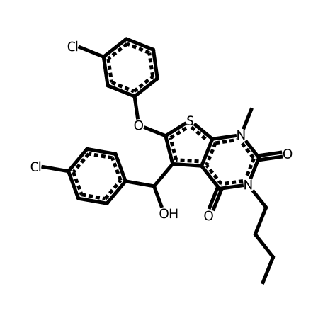 CCCCn1c(=O)c2c(C(O)c3ccc(Cl)cc3)c(Oc3cccc(Cl)c3)sc2n(C)c1=O